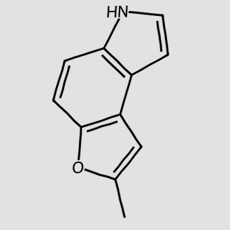 Cc1cc2c(ccc3[nH]ccc32)o1